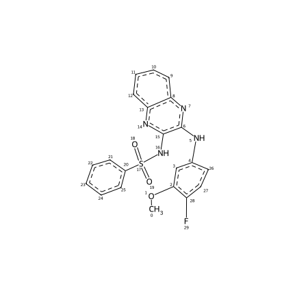 COc1cc(Nc2nc3ccccc3nc2NS(=O)(=O)c2ccccc2)ccc1F